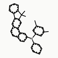 Cc1cc(C)cc(N(c2ccccc2)c2ccc3ccc4cc5c(cc4c3c2)C(C)(C)c2ccccc2-5)c1